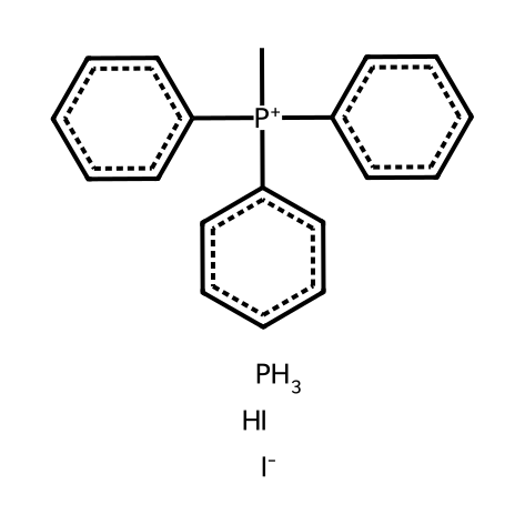 C[P+](c1ccccc1)(c1ccccc1)c1ccccc1.I.P.[I-]